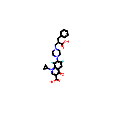 O=C(O)c1cn(C2CC2)c2c(F)c(N3CCN(CC(Cc4ccccc4)C(=O)O)CC3)c(F)cc2c1=O